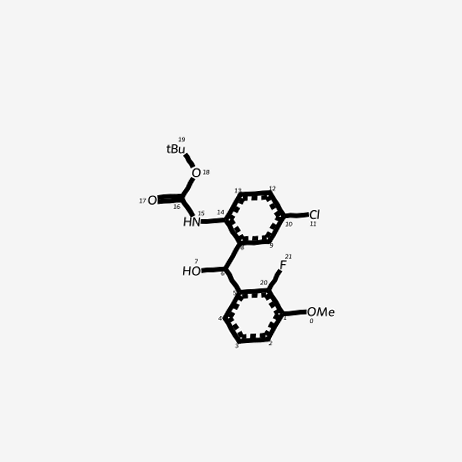 COc1cccc(C(O)c2cc(Cl)ccc2NC(=O)OC(C)(C)C)c1F